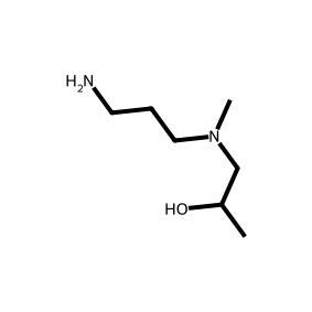 CC(O)CN(C)CCCN